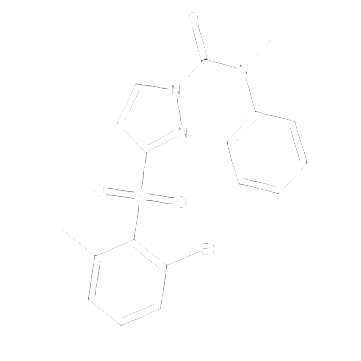 CCc1cccc(C)c1S(=O)(=O)c1ccn(C(=O)N(C)c2ccccc2)n1